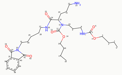 CCCCOC(=O)NCCCN(C(=O)OCCCC)C(CCCN)C(=O)NCCCCCN1C(=O)c2ccccc2C1=O